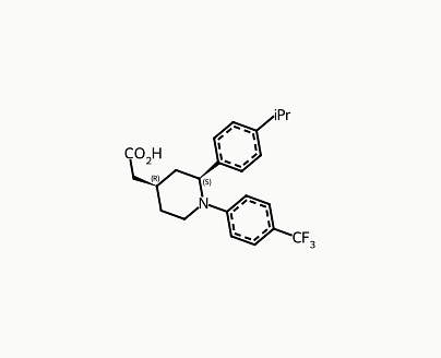 CC(C)c1ccc([C@@H]2C[C@H](CC(=O)O)CCN2c2ccc(C(F)(F)F)cc2)cc1